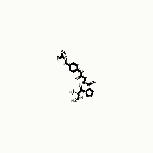 CN[C@H](C)C(=O)N1CCC[C@H]1C(=O)NCC(=O)Nc1ccc(COC(C)=O)cc1